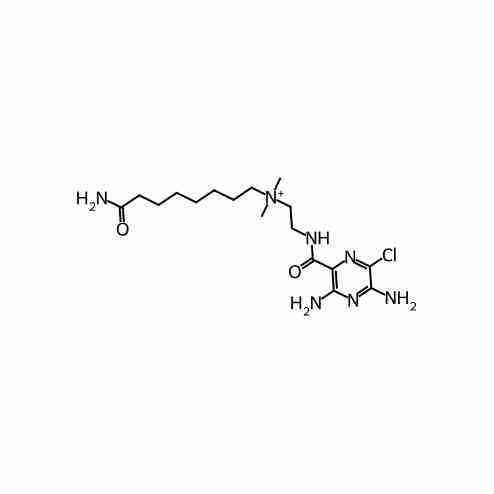 C[N+](C)(CCCCCCCC(N)=O)CCNC(=O)c1nc(Cl)c(N)nc1N